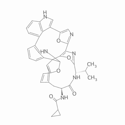 CC(C)[C@@H]1NC(=O)[C@@H](NC(=O)C2CC2)Cc2ccc3c(c2)C24c5cccc(c5NC2O3)-c2cccc3[nH]cc(c23)-c2cnc(o2)-c2nc1oc24